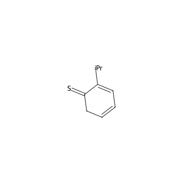 [CH2]C(C)C1=CC=CCC1=S